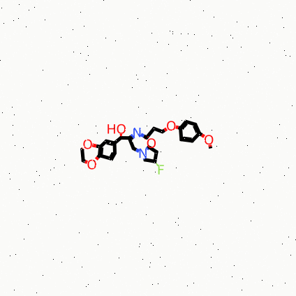 COc1ccc(OCCC(=O)/N=C(\CN2CC[C@H](F)C2)[C@H](O)c2ccc3c(c2)OCCO3)cc1